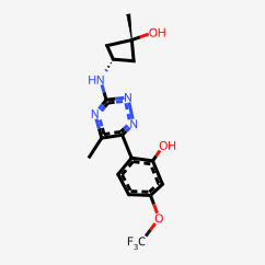 Cc1nc(N[C@H]2C[C@@](C)(O)C2)nnc1-c1ccc(OC(F)(F)F)cc1O